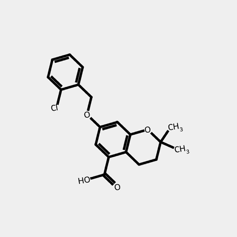 CC1(C)CCc2c(cc(OCc3ccccc3Cl)cc2C(=O)O)O1